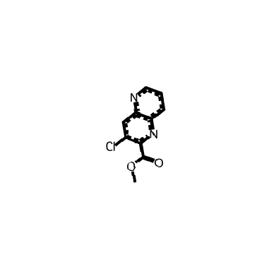 COC(=O)c1nc2cccnc2cc1Cl